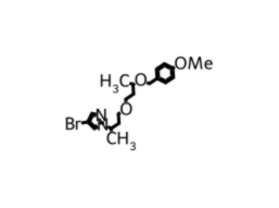 COc1ccc(COC(C)CCOCCC(C)n2cc(Br)cn2)cc1